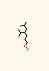 CC(C)CC(CCCOCl)C(C)C